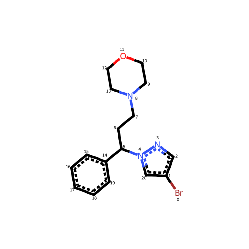 Brc1cnn(C(CCN2CCOCC2)c2ccccc2)c1